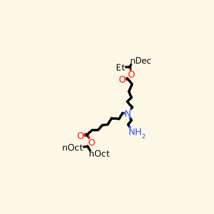 CCCCCCCCCCC(CC)OC(=O)CCCCCN(CCN)CCCCCCCC(=O)OC(CCCCCCCC)CCCCCCCC